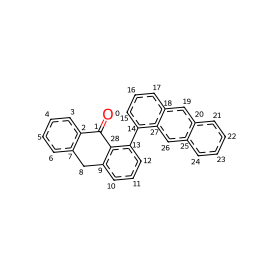 O=C1c2ccccc2Cc2cccc(-c3cccc4cc5ccccc5cc34)c21